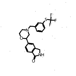 O=C1NCc2cc(C3CN(Cc4cccc(SC(F)(F)F)c4)CCO3)ccc21